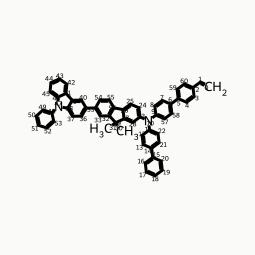 C=Cc1ccc(-c2ccc(N(c3ccc(-c4ccccc4)cc3)c3ccc4c(c3)C(C)(C)c3cc(-c5ccc6c(c5)c5ccccc5n6-c5ccccc5)ccc3-4)cc2)cc1